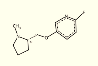 CN1CCC[C@H]1COc1ccc(F)nc1